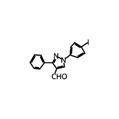 O=Cc1cn(-c2ccc(I)cc2)nc1-c1ccccc1